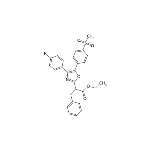 CCOC(=O)C(Cc1ccccc1)c1nc(-c2ccc(F)cc2)c(-c2ccc(S(C)(=O)=O)cc2)o1